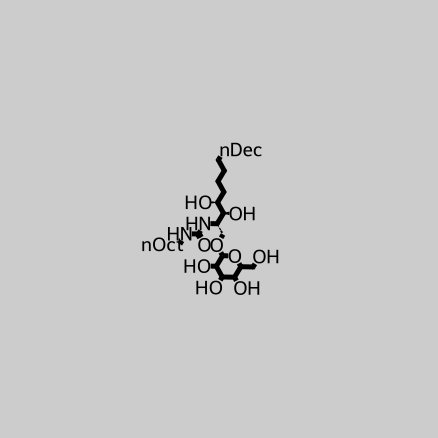 CCCCCCCCCCCCCC[C@@H](O)[C@@H](O)[C@H](COC1OC(CO)C(O)C(O)C1O)NC(=O)NCCCCCCCC